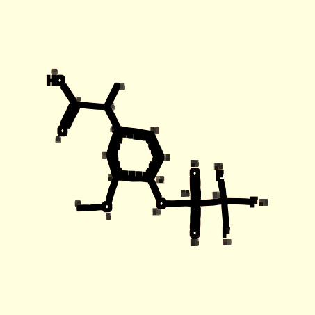 COc1cc(C(C)C(=O)O)ccc1OS(=O)(=O)C(F)(F)F